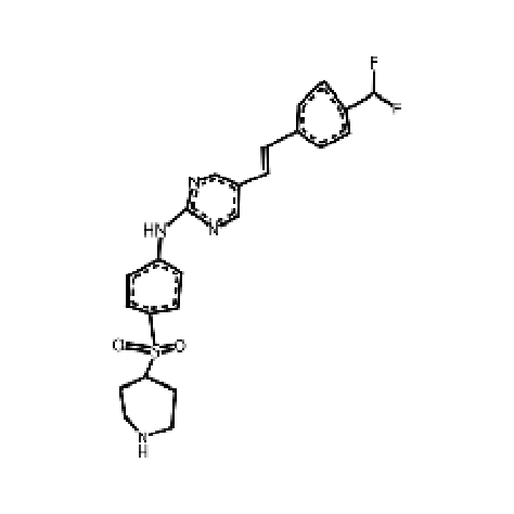 O=S(=O)(c1ccc(Nc2ncc(/C=C/c3ccc(C(F)F)cc3)cn2)cc1)C1CCNCC1